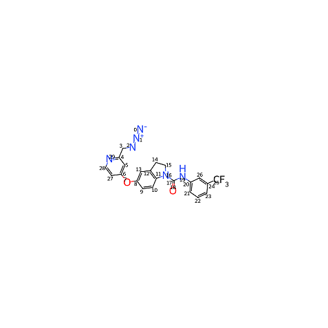 [N-]=[N+]=NCc1cc(Oc2ccc3c(c2)CCN3C(=O)Nc2cccc(C(F)(F)F)c2)ccn1